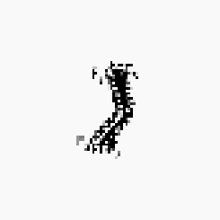 FC(F)(F)C(F)(C(F)(F)F)C(F)(Br)C(F)(F)C(F)(F)C(F)(F)C(F)(F)C(F)(F)OC(F)(F)C(F)(F)C(F)(F)C(F)(F)C(F)(F)C(F)(Br)C(F)(C(F)(F)F)C(F)(F)F